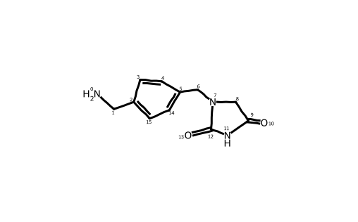 NCc1ccc(CN2CC(=O)NC2=O)cc1